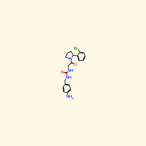 Nc1ccc(CNC(=O)NCC(=O)N2CCCC2c2ccccc2Br)cc1